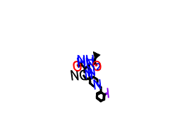 N#CCC1(n2cc(C(N)=O)c(NC(=O)C3CC3)n2)CCN(Cc2ccccc2I)CC1